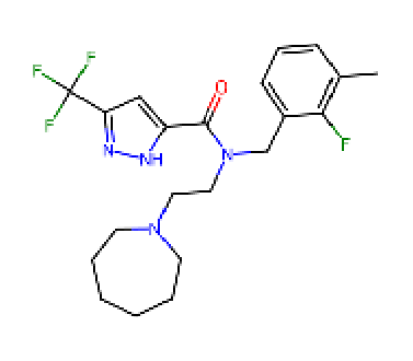 Cc1cccc(CN(CCN2CCCCCC2)C(=O)c2cc(C(F)(F)F)n[nH]2)c1F